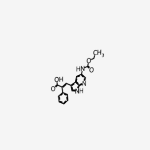 CCOC(=O)Nc1cnc2[nH]cc(/C=C(/C(=O)O)c3ccccc3)c2c1